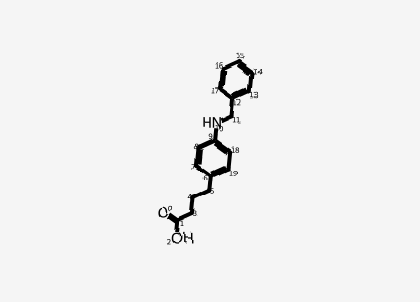 O=C(O)CCCc1ccc(NCc2ccccc2)cc1